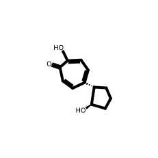 O=c1ccc([C@@H]2CCC[C@H]2O)ccc1O